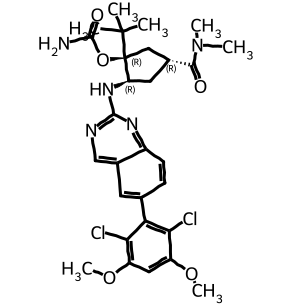 COc1cc(OC)c(Cl)c(-c2ccc3nc(N[C@@H]4C[C@@H](C(=O)N(C)C)C[C@@]4(OC(N)=O)C(C)(C)C)ncc3c2)c1Cl